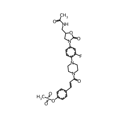 CC(=O)NCC1CN(c2ccc(N3CCN(C(=O)C=Cc4ccc(OS(C)(=O)=O)cc4)CC3)c(F)c2)C(=O)O1